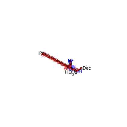 CCCCCCCCCCCCCCCC(=O)N[C@H](CCC(=O)NCCCC[C@@H](NC(=O)CCCCN=[N+]=[N-])C(O)NCCOCCOCCOCCOCCOCCOCCOCCOCCOCCOCCOCCOC(=O)C(C)C)C(=O)O